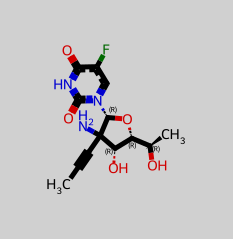 CC#CC1(N)[C@@H](O)[C@@H]([C@@H](C)O)O[C@H]1n1cc(F)c(=O)[nH]c1=O